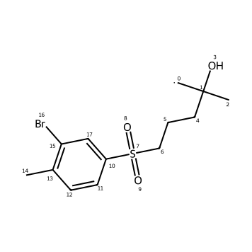 [CH2]C(C)(O)CCCS(=O)(=O)c1ccc(C)c(Br)c1